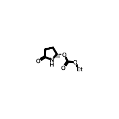 CCOC(=O)O[C@H]1CCC(=O)N1